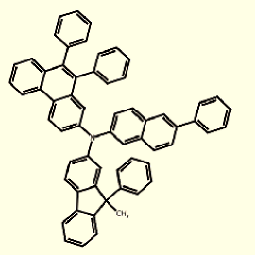 CC1(c2ccccc2)c2ccccc2-c2ccc(N(c3ccc4cc(-c5ccccc5)ccc4c3)c3ccc4c(c3)c(-c3ccccc3)c(-c3ccccc3)c3ccccc34)cc21